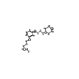 CCCCOc1cccc(OCCCC2CCOCC2)c1